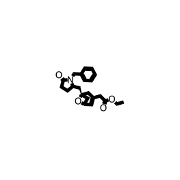 CCOC(=O)CC1=CC2C[C@@](CC3CCC(=O)N3Cc3ccccc3)(C1)O2